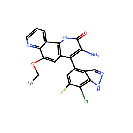 CCOc1cc2c(-c3cc(F)c(Cl)c4[nH]ncc34)c(N)c(=O)[nH]c2c2cccnc12